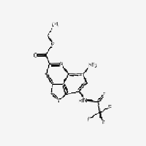 CCOC(=O)c1cc2c3c(c(NC(=O)C(F)(F)F)cc(N)c3n1)N=C2